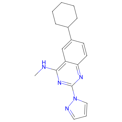 CNc1nc(-n2cccn2)nc2ccc(C3CCCCC3)cc12